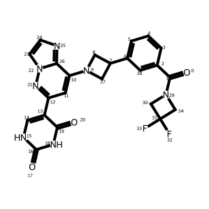 O=C(c1cccc(C2CN(c3cc(-c4c[nH]c(=O)[nH]c4=O)nn4ccnc34)C2)c1)N1CC(F)(F)C1